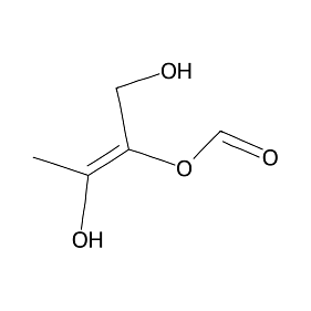 C/C(O)=C(\CO)OC=O